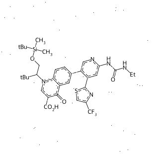 CCNC(=O)Nc1cc(-c2nc(C(F)(F)F)cs2)c(-c2ccc3c(c2)c(=O)c(C(=O)O)cn3C(CO[Si](C)(C)C(C)(C)C)C(C)(C)C)cn1